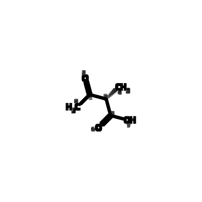 CC(=O)[C@H](C)C(=O)O